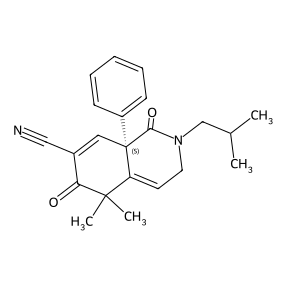 CC(C)CN1CC=C2C(C)(C)C(=O)C(C#N)=C[C@@]2(c2ccccc2)C1=O